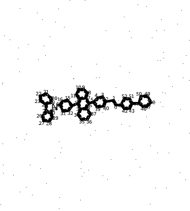 C(=C\c1ccc(-c2c3ccccc3c(-c3ccc(-n4c5ccccc5c5ccccc54)cc3)c3ccccc23)cc1)/c1ccc(-c2ccccc2)cc1